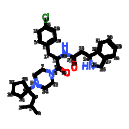 CC(C)CC1(N2CCN(C(=O)C(Cc3ccc(Cl)cc3)NC(=O)CC3NCc4ccccc43)CC2)CCCC1